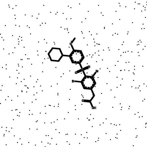 COc1ccc(S(=O)(=O)c2c(Br)cc(CC(=O)O)cc2Br)cc1C1CCCCC1